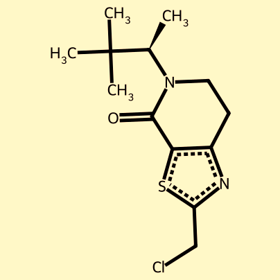 C[C@@H](N1CCc2nc(CCl)sc2C1=O)C(C)(C)C